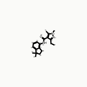 CCc1nn(C)c(I)c1C(=O)Nc1cccc2c1CCC2(C)C